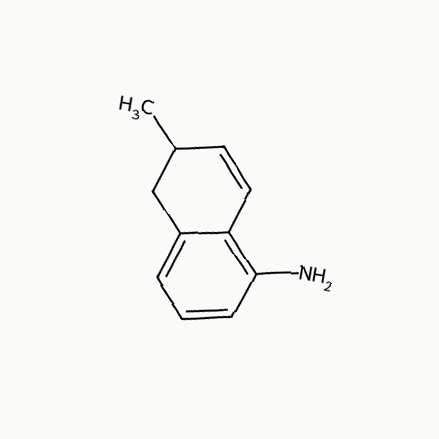 CC1C=Cc2c(N)cccc2C1